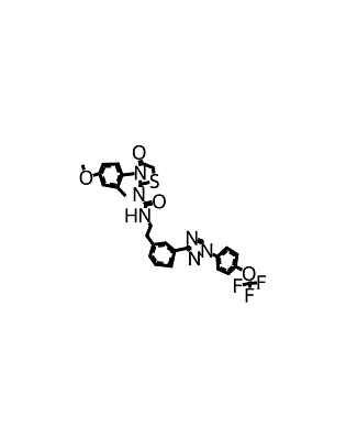 COc1ccc(N2C(=O)CS/C2=N\C(=O)NCCc2cccc(-c3ncn(-c4ccc(OC(F)(F)F)cc4)n3)c2)c(C)c1